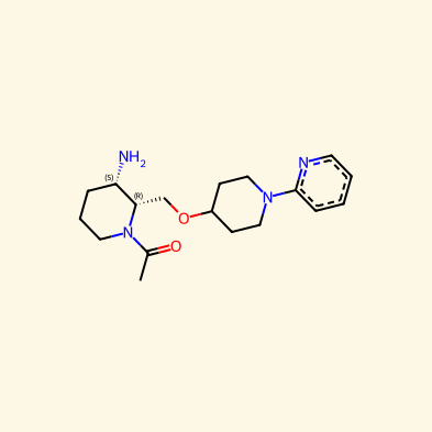 CC(=O)N1CCC[C@H](N)[C@@H]1COC1CCN(c2ccccn2)CC1